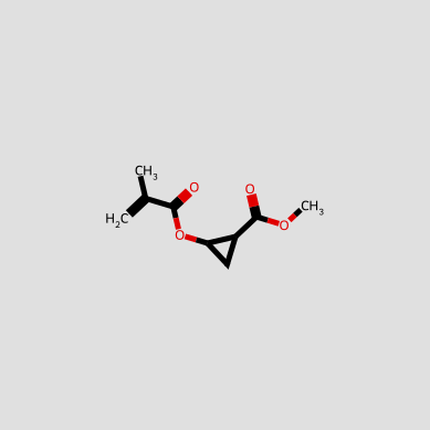 C=C(C)C(=O)OC1CC1C(=O)OC